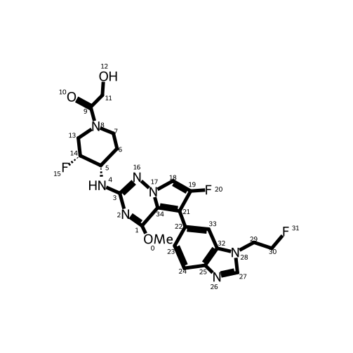 COc1nc(N[C@H]2CCN(C(=O)CO)C[C@H]2F)nn2cc(F)c(-c3ccc4ncn(CCF)c4c3)c12